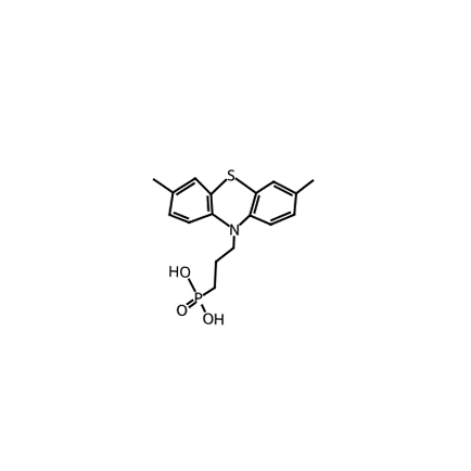 Cc1ccc2c(c1)Sc1cc(C)ccc1N2CCCP(=O)(O)O